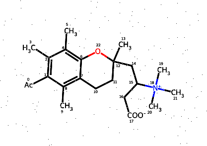 CC(=O)c1c(C)c(C)c2c(c1C)CCC(C)(CC(CC(=O)[O-])[N+](C)(C)C)O2